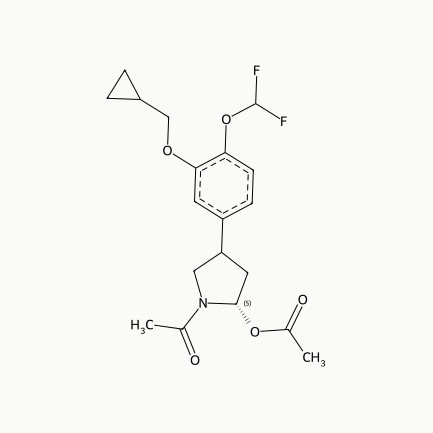 CC(=O)O[C@H]1CC(c2ccc(OC(F)F)c(OCC3CC3)c2)CN1C(C)=O